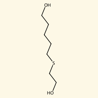 OCCCCCSCCO